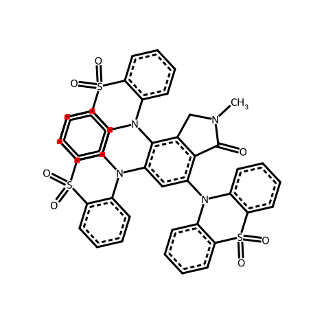 CN1Cc2c(c(N3c4ccccc4S(=O)(=O)c4ccccc43)cc(N3c4ccccc4S(=O)(=O)c4ccccc43)c2N2c3ccccc3S(=O)(=O)c3ccccc32)C1=O